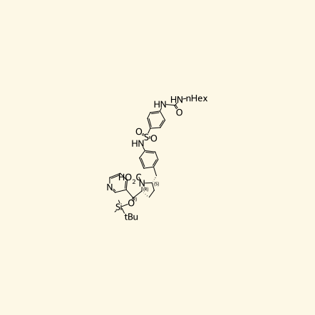 CCCCCCNC(=O)Nc1ccc(S(=O)(=O)Nc2ccc(C[C@@H]3CC[C@H]([C@H](O[Si](C)(C)C(C)(C)C)c4cccnc4)N3C(=O)O)cc2)cc1